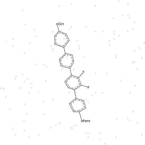 CCCCCCCCc1ccc(-c2ccc(-c3ccc(-c4ccc(CCCCC)cc4)c(F)c3F)cc2)cc1